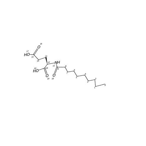 CCCCCCCCCC(=O)N[C@H](CCC(=O)O)C(=O)O